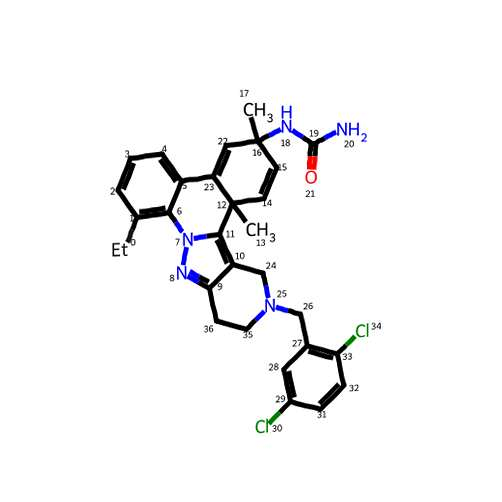 CCc1cccc2c1-n1nc3c(c1C1(C)C=CC(C)(NC(N)=O)C=C21)CN(Cc1cc(Cl)ccc1Cl)CC3